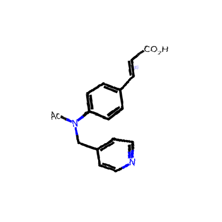 CC(=O)N(Cc1ccncc1)c1ccc(/C=C/C(=O)O)cc1